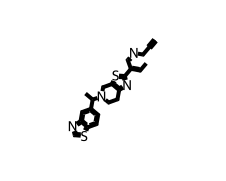 C#CC/N=C\C(=C/C)c1nc2c(s1)CN(C(C)c1ccc3scnc3c1)CC2